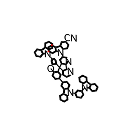 N#Cc1ccc2c(c1)c1ccccc1n2-c1cnc2c(c1)C1(c3ccc(-n4c5ccccc5c5ccccc54)cc3Oc3ccc(-c4ccc5c(c4)c4ccccc4n5-c4cccc(-n5c6ccccc6c6ccccc65)c4)cc31)c1cccnc1-2